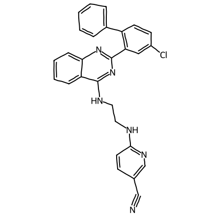 N#Cc1ccc(NCCNc2nc(-c3cc(Cl)ccc3-c3ccccc3)nc3ccccc23)nc1